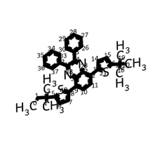 CCC(C)(C)c1ccc(-c2ccc(-c3ccc(C(C)(C)C)s3)c3nc(-c4ccccc4)c(-c4ccccc4)nc23)s1